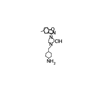 Cc1ccc2onc(N3CCN(CCC4CCC(N)CC4)CC3)c2c1.Cl